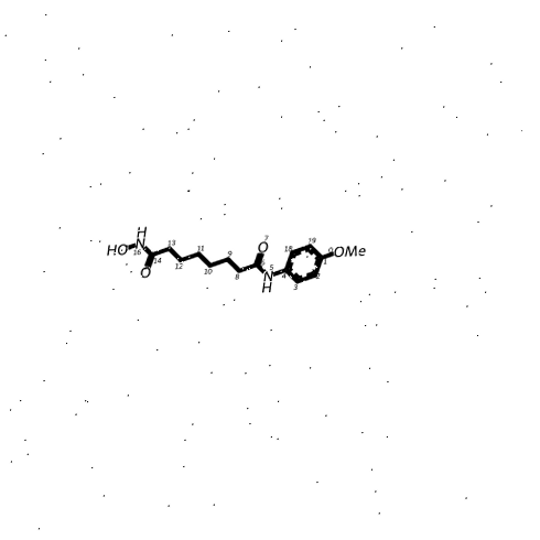 COc1ccc(NC(=O)CCCCCCC(=O)NO)cc1